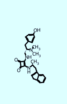 C[C@H](CC1=CCc2ccccc21)Nc1c(NC[C@H](Cc2ccc(O)cc2)N(C)C)c(=O)c1=O